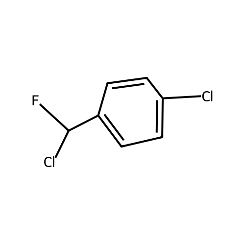 FC(Cl)c1ccc(Cl)cc1